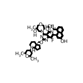 CCc1cccc2cc(O)cc(-c3nc(OC)c4c(N5CCOC[C@@](C)(O)C5)nc(OC[C@]56CCC[C@H]5N(C5C[C@@H](C)O[C@@H](C)C5)CCC6)nc4c3F)c12